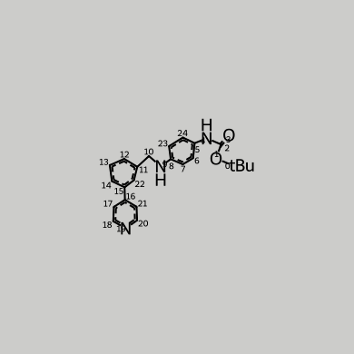 CC(C)(C)OC(=O)Nc1ccc(NCc2cccc(-c3ccncc3)c2)cc1